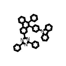 c1ccc(-c2nc(-c3ccccc3)nc(-c3ccc4c(c3)c(-c3ccc(-n5c6ccccc6c6ccccc65)cc3)c(-c3ccccc3)c3ccccc34)n2)cc1